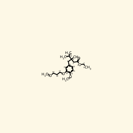 CCOC(=O)CC(C)(Cc1ccc(OC)c(OCCCOC)c1)C(C)C